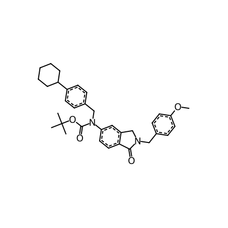 COc1ccc(CN2Cc3cc(N(Cc4ccc(C5CCCCC5)cc4)C(=O)OC(C)(C)C)ccc3C2=O)cc1